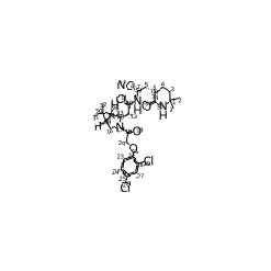 CC1(C)CC[C@@H](C[C@@H](C#N)NC(=O)C[C@@H]2[C@@H]3[C@H](CN2C(=O)COc2ccc(Cl)cc2Cl)C3(C)C)C(=O)N1